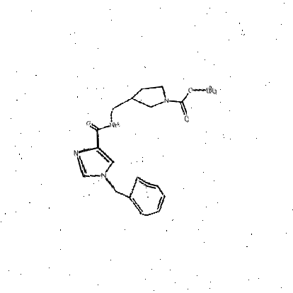 CC(C)(C)OC(=O)N1CCC(CNC(=O)c2cn(Cc3ccccc3)cn2)C1